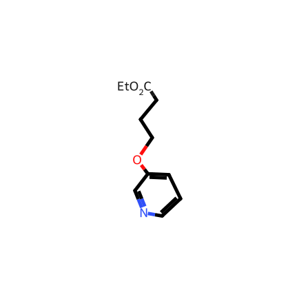 CCOC(=O)CCCOc1cccnc1